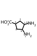 NC1CC(C(=O)O)CC1N